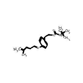 CC(C)CCCOc1ccc(COC(=O)NC(C)(C)C)cc1